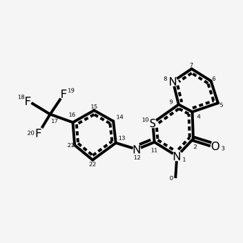 Cn1c(=O)c2cccnc2s/c1=N\c1ccc(C(F)(F)F)cc1